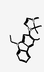 CCn1c2ccccc2c2cc(C)c(N3C=CN(C)C3(C)C)cc21